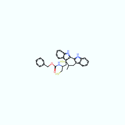 CC(CS)Cc1c(-c2[nH]c3ccccc3c2CC(CS)NC(=O)OCc2ccccc2)[nH]c2ccccc12